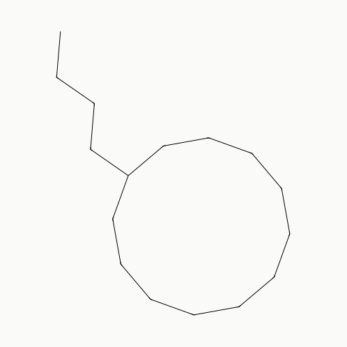 CCCCC1CCCCCCCCCCC1